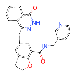 O=C(NCc1cccnc1)c1cc(Cc2n[nH]c(=O)c3ccccc23)cc2c1OCC2